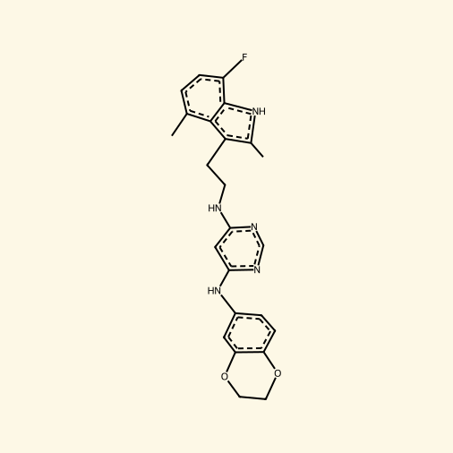 Cc1[nH]c2c(F)ccc(C)c2c1CCNc1cc(Nc2ccc3c(c2)OCCO3)ncn1